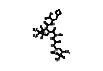 CC(=O)C(=O)C(CC1CCC1)NC(=O)[C@@H]1[C@@H]2[C@H](CN1C(=O)[C@@H](NC(=O)N[C@H](CN(C)S(=O)(=O)C(F)(F)F)C(C)(C)C)C(C)(C)C)C2(C)C